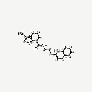 CC(C)(C)c1nnc2c(C(=O)NCCCC3=C=Cc4ccccc4N3)cccn12